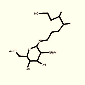 CC(=O)NCC1OC(OCCCC(C)C(C)CCO)C(NC(C)=O)C(O)C1O